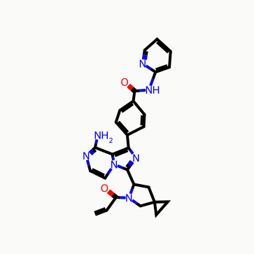 C=CC(=O)N1CC2(CC2)CC1c1nc(-c2ccc(C(=O)Nc3ccccn3)cc2)c2c(N)nccn12